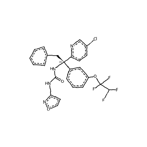 O=C(Nc1ccon1)N[C@@](Cc1ccccc1)(c1cccc(OC(F)(F)C(F)F)c1)c1ccc(Cl)cn1